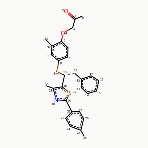 CC(=O)COc1ccc(S[C@H](Cc2ccccc2)c2sc(-c3ccc(C)cc3)nc2C)cc1C